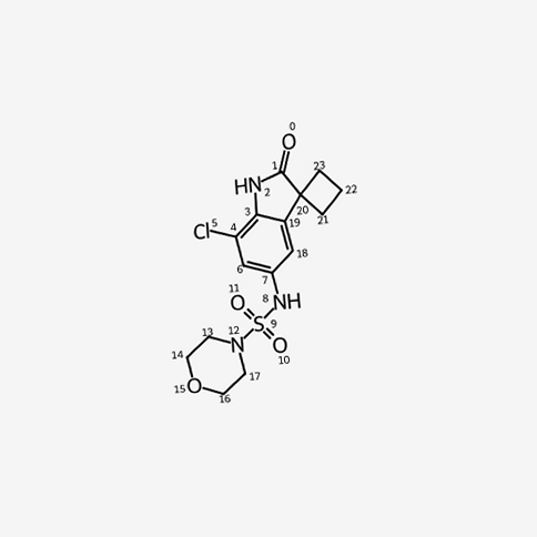 O=C1Nc2c(Cl)cc(NS(=O)(=O)N3CCOCC3)cc2C12CCC2